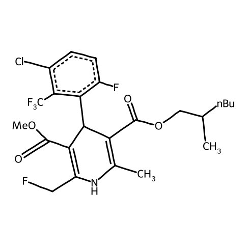 CCCCC(C)COC(=O)C1=C(C)NC(CF)=C(C(=O)OC)C1c1c(F)ccc(Cl)c1C(F)(F)F